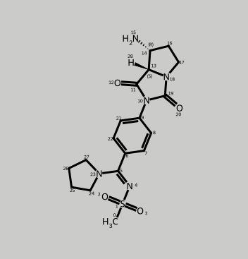 CS(=O)(=O)N=C(c1ccc(N2C(=O)[C@@H]3[C@H](N)CCN3C2=O)cc1)N1CCCC1